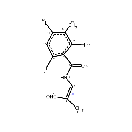 C/C(C=O)=C/NC(=O)c1c(I)cc(I)c(C)c1I